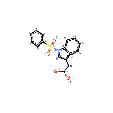 O=S(=O)(c1ccccc1)n1cc(CC(O)Br)c2ccccc21